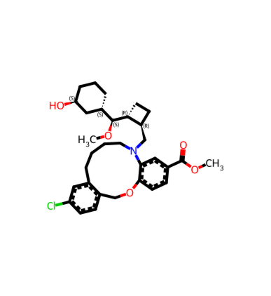 COC(=O)c1ccc2c(c1)N(C[C@@H]1CC[C@H]1[C@@H](OC)[C@H]1CCC[C@H](O)C1)CCCCc1cc(Cl)ccc1CO2